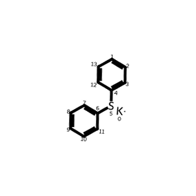 [K].c1ccc(Sc2ccccc2)cc1